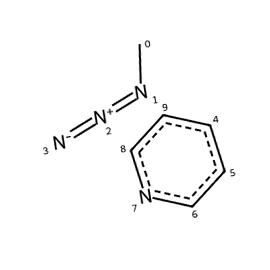 CN=[N+]=[N-].c1ccncc1